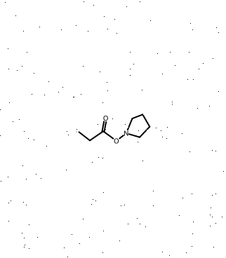 [CH2]CC(=O)ON1CCCC1